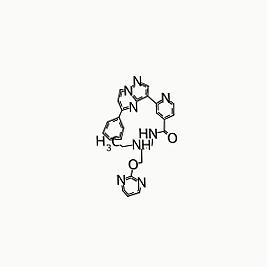 CCN[C@H](CNC(=O)c1ccnc(-c2cnn3ccc(-c4ccccc4)nc23)c1)COc1ncccn1